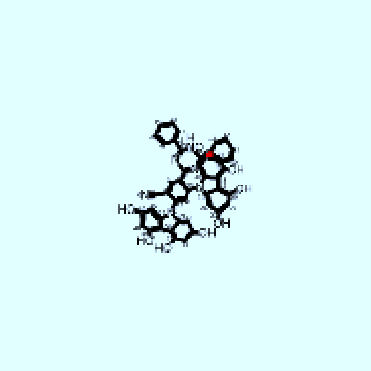 N#Cc1cc(C2=NC(c3ccccc3)NC(c3ccccc3)=N2)c(-n2c3cc(O)cc(O)c3c3c(O)cc(O)cc32)cc1-n1c2cc(O)cc(O)c2c2c(O)cc(O)cc21